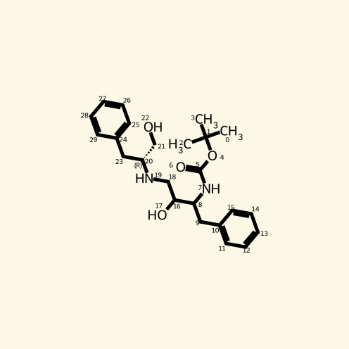 CC(C)(C)OC(=O)NC(Cc1ccccc1)C(O)CN[C@@H](CO)Cc1ccccc1